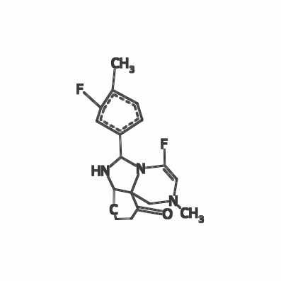 Cc1ccc(C2NC3CCCC(=O)C34CN(C)C=C(F)N24)cc1F